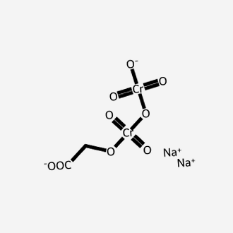 O=C([O-])C[O][Cr](=[O])(=[O])[O][Cr](=[O])(=[O])[O-].[Na+].[Na+]